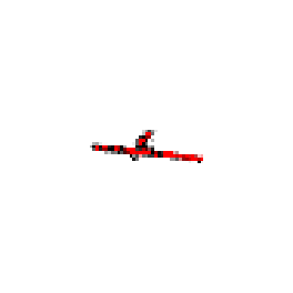 CCCCCCCCCCCCCCCCCCCCC(=O)O[C@H](COC(=O)CCCCCCCCCCCCCCCC)COP(=O)([O-])OCC[N+](C)(C)C